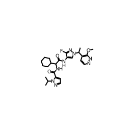 COc1nnccc1C(C)n1cc(NC(=O)C(NC(=O)c2ccnn2C(C)C)C2CCCCC2)c(F)n1